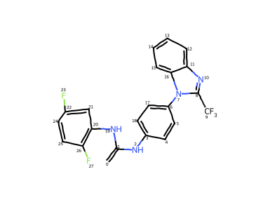 C=C(Nc1ccc(-n2c(C(F)(F)F)nc3ccccc32)cc1)Nc1cc(F)ccc1F